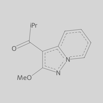 COc1nn2ccccc2c1C(=O)C(C)C